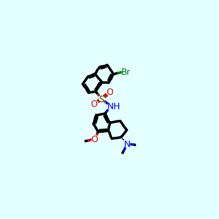 COc1ccc(NS(=O)(=O)c2cccc3ccc(Br)cc23)c2c1C[C@@H](N(C)C)CC2